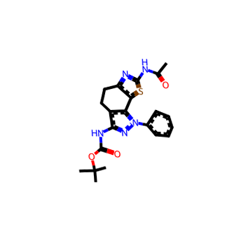 CC(=O)Nc1nc2c(s1)-c1c(c(NC(=O)OC(C)(C)C)nn1-c1ccccc1)CC2